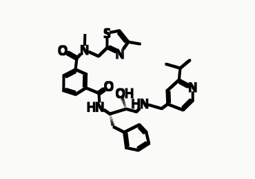 Cc1csc(CN(C)C(=O)c2cccc(C(=O)N[C@@H](Cc3ccccc3)[C@H](O)CNCc3ccnc(C(C)C)c3)c2)n1